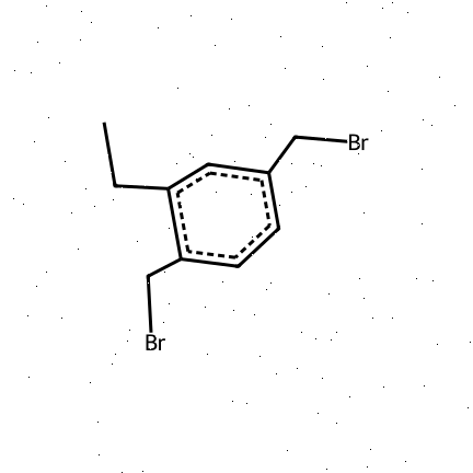 CCc1cc(CBr)ccc1CBr